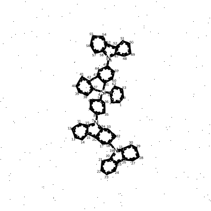 c1ccc([Si]2(c3ccc(-n4c5ccccc5c5cc(-n6c7ccccc7c7ccccc76)ccc54)cc3)c3ccccc3-c3cc(-n4c5ccccc5c5ccccc54)ccc32)cc1